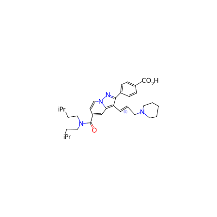 CC(C)CCN(CCC(C)C)C(=O)c1ccn2nc(-c3ccc(C(=O)O)cc3)c(/C=C/CN3CCCCC3)c2c1